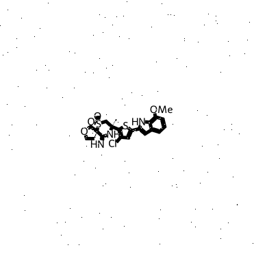 COc1cccc2cc(-c3cc(Cl)c([C@]4(C)CS(=O)(=O)[C@@]5(CCOC5)C(=N)N4)s3)[nH]c12